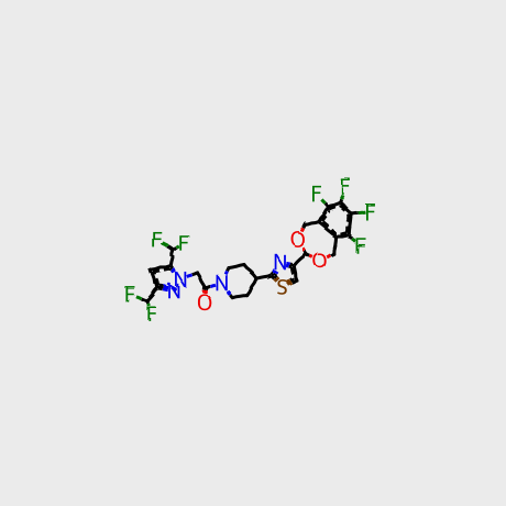 O=C(Cn1nc(C(F)F)cc1C(F)F)N1CCC(c2nc(C3OCc4c(F)c(F)c(F)c(F)c4CO3)cs2)CC1